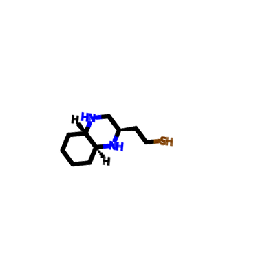 SCC[C@@H]1CN[C@H]2CCCC[C@@H]2N1